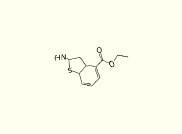 CCOC(=O)C1=CC=CC2SC([NH])CC12